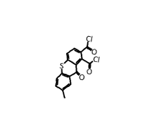 Cc1ccc2sc3ccc(C(=O)Cl)c(C(=O)Cl)c3c(=O)c2c1